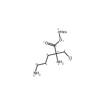 CCCCCCOC(=O)C(N)(CCl)CCCN